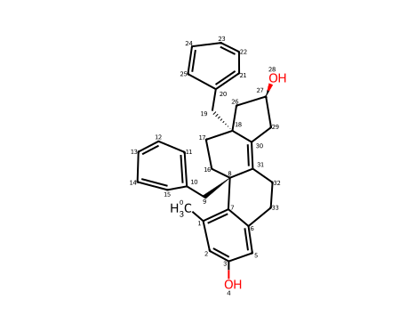 Cc1cc(O)cc2c1[C@]1(Cc3ccccc3)CC[C@@]3(Cc4ccccc4)C[C@@H](O)CC3=C1CC2